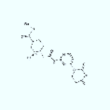 CC(C)(C)OC(=O)N1CCN(CC(=O)Nc2cc([C@H]3CCC(=O)NC3=O)ccn2)[C@@H](C(F)(F)F)C1